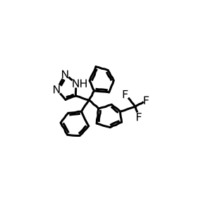 FC(F)(F)c1cccc(C(c2ccccc2)(c2ccccc2)c2cnn[nH]2)c1